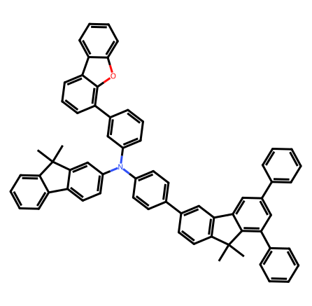 CC1(C)c2ccccc2-c2ccc(N(c3ccc(-c4ccc5c(c4)-c4cc(-c6ccccc6)cc(-c6ccccc6)c4C5(C)C)cc3)c3cccc(-c4cccc5c4oc4ccccc45)c3)cc21